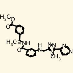 COC(=O)c1cccc([C@@H](C)NC(=O)c2cccc(NCc3nnc(-c4ccncn4)n3C)c2)c1